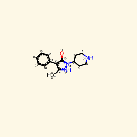 Cc1[nH]n(C2CCNCC2)c(=O)c1-c1ccccc1